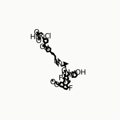 C#Cc1c(F)ccc2cc(OCOC)cc(-c3ncc4c(N5CCC[C@@](C)(O)C5)nc(OCC5(CN6CCN(CCC#CC7CCN(C(=O)c8ccc(Cl)c(N9CCC(=O)NC9=O)c8)CC7)CC6)CC5)nc4c3F)c12